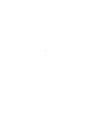 O=C1COc2cccc3onc(c23)N1Cc1ccccc1